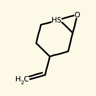 C=CC1CC[SH]2OC2C1